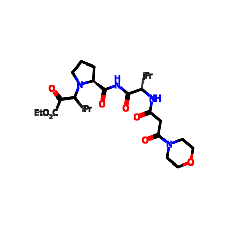 CCOC(=O)C(=O)C(C(C)C)N1CCC[C@H]1C(=O)NC(=O)[C@@H](NC(=O)CC(=O)N1CCOCC1)C(C)C